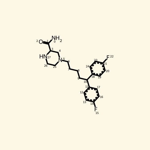 NC(=O)C1CN(CCCCC(c2ccc(F)cc2)c2ccc(F)cc2)CCN1